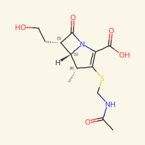 CC(=O)NCSC1=C(C(=O)O)N2C(=O)[C@@H](CCO)[C@H]2[C@H]1C